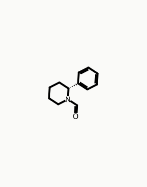 O=CN1CCCC[C@@H]1c1ccccc1